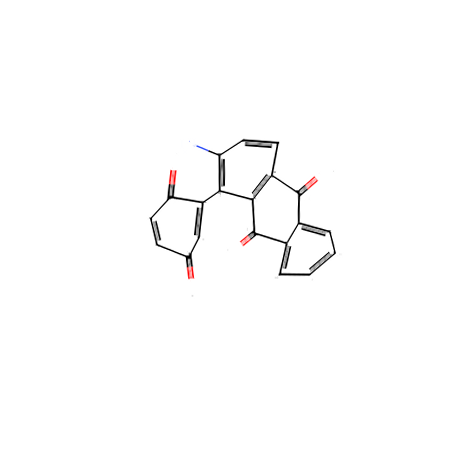 Nc1ccc2c(c1C1=CC(=O)C=CC1=O)C(=O)c1ccccc1C2=O